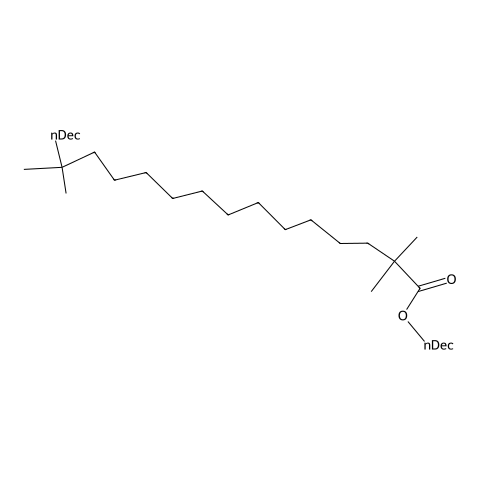 CCCCCCCCCCOC(=O)C(C)(C)CCCCCCCCCCCC(C)(C)CCCCCCCCCC